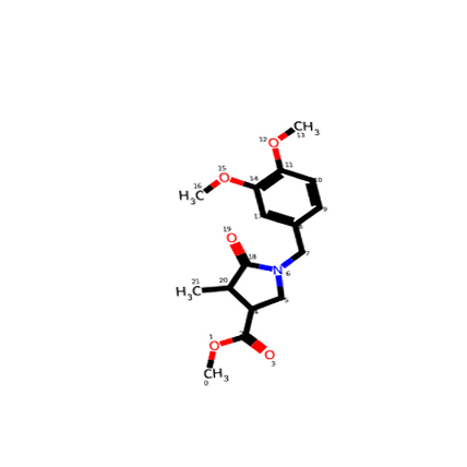 COC(=O)C1CN(Cc2ccc(OC)c(OC)c2)C(=O)C1C